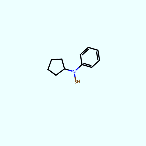 SN(c1ccccc1)C1CCCC1